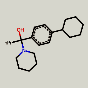 CCCC(O)(c1ccc(C2CCCCC2)cc1)N1CCCCC1